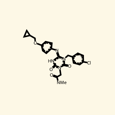 CNC(=O)Cn1c(=O)[nH]/c(=N\c2ccc(OCC3CC3)cc2)n(Cc2ccc(Cl)cc2)c1=O